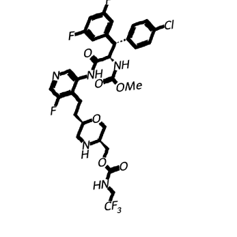 COC(=O)N[C@H](C(=O)Nc1cncc(F)c1CC[C@@H]1CN[C@H](COC(=O)NCC(F)(F)F)CO1)[C@@H](c1ccc(Cl)cc1)c1cc(F)cc(F)c1